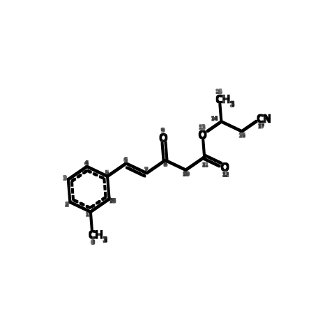 Cc1cccc(C=CC(=O)CC(=O)OC(C)CC#N)c1